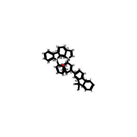 CC1(C)c2ccccc2-c2ccc(-c3cccc(-n4ccc5ccc6c7ccccc7n(-c7ccccc7)c6c54)c3)cc21